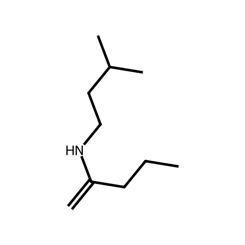 C=C(CCC)NCCC(C)C